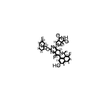 CCc1c(F)ccc2cc(O)cc(-c3ncc4c(N5CC6C(=O)NC(=O)C6(C)C5)nc(OC[C@@]56CCCN5C[C@H](F)C6)nc4c3F)c12